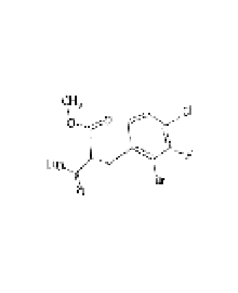 COC(=O)C(Cc1ccc(Cl)c(F)c1Br)C(=O)O